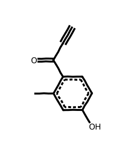 C#CC(=O)c1ccc(O)cc1C